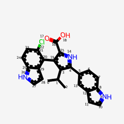 CC(C)c1c(-c2ccc3[nH]ccc3c2)[nH]c(C(=O)O)c1-c1c(Cl)ccc2[nH]ccc12